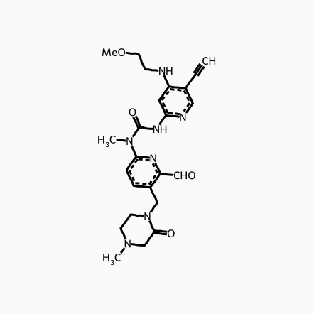 C#Cc1cnc(NC(=O)N(C)c2ccc(CN3CCN(C)CC3=O)c(C=O)n2)cc1NCCOC